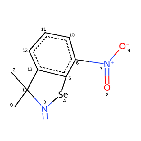 CC1(C)N[Se]c2c([N+](=O)[O-])cccc21